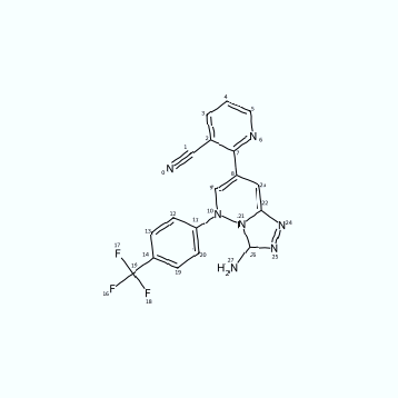 N#Cc1cccnc1C1=CN(c2ccc(C(F)(F)F)cc2)N2C(=C1)N=NC2N